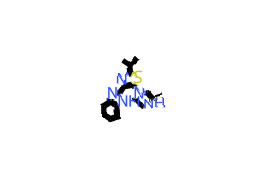 CC(C)c1nc(-c2nc3ccccc3[nH]2)c(N2CCN[C@H](C)C2)s1